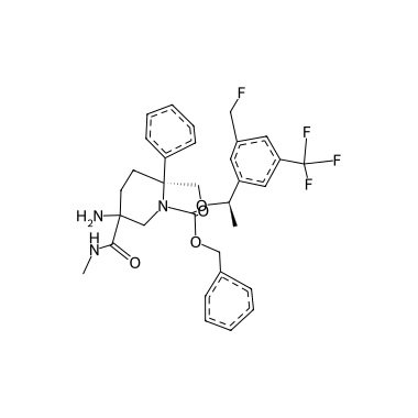 CNC(=O)C1(N)CC[C@@](CO[C@H](C)c2cc(CF)cc(C(F)(F)F)c2)(c2ccccc2)N(C(=O)OCc2ccccc2)C1